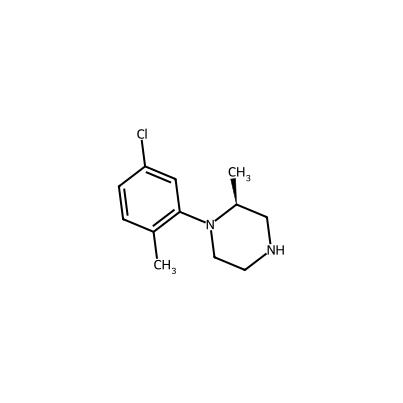 Cc1ccc(Cl)cc1N1CCNC[C@@H]1C